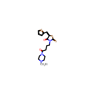 CCOC(=O)N1CCN(C(=O)CCCN2C(=O)/C(=C\c3cccs3)SC2=S)CC1